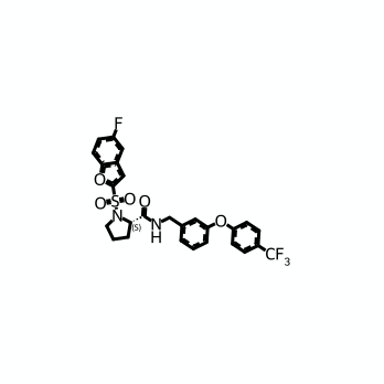 O=C(NCc1cccc(Oc2ccc(C(F)(F)F)cc2)c1)[C@@H]1CCCN1S(=O)(=O)c1cc2cc(F)ccc2o1